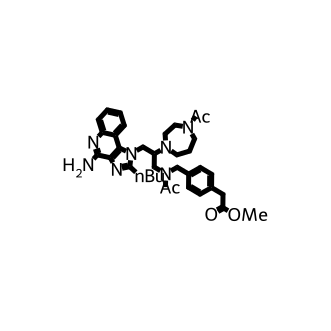 CCCCc1nc2c(N)nc3ccccc3c2n1CC(CN(Cc1ccc(CC(=O)OC)cc1)C(C)=O)N1CCCN(C(C)=O)CC1